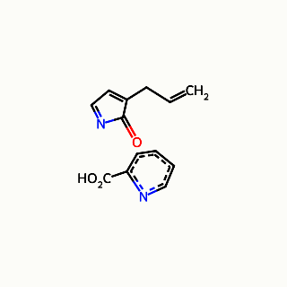 C=CCC1=CC=NC1=O.O=C(O)c1ccccn1